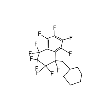 Fc1c(F)c(F)c2c(c1F)C(F)(F)C(F)(F)C(F)(F)C2(F)CC1CCCCC1